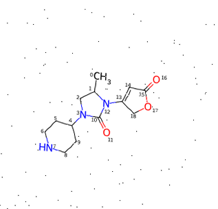 CC1CN(C2CCNCC2)C(=O)N1C1=CC(=O)OC1